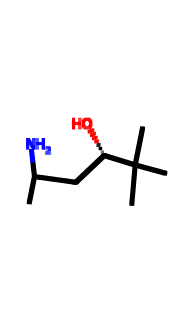 CC(N)C[C@H](O)C(C)(C)C